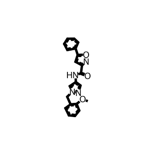 COc1ccccc1Cn1cc(NC(=O)c2cc(-c3ccccc3)on2)cn1